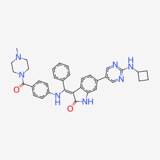 CN1CCN(C(=O)c2ccc(N/C(=C3\C(=O)Nc4cc(-c5cnc(NC6CCC6)nc5)ccc43)c3ccccc3)cc2)CC1